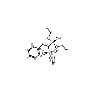 CCOP(=O)(OCC)C(Cc1ccccn1)S(=O)(=O)O.[Li]